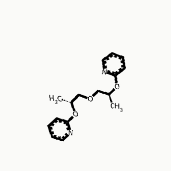 C[C@H](COC[C@H](C)Oc1ccccn1)Oc1ccccn1